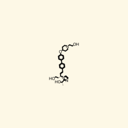 C[C@H](O)c1nccn1[C@@H](/C=C/c1ccc(-c2ccc(OC3CCN(CCO)CC3)cc2)cc1)CCO